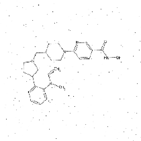 C=CN(C)c1ccccc1C1CCN(CC2CCN(c3ccc(C(=O)NO)cn3)CC2)C1